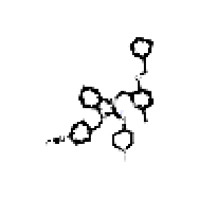 [C-]#[N+]c1ccc(Cn2/c(=N\C3CCNCC3)n(Cc3nc(C)ccc3OCc3ccccc3)c3ccccc32)cc1